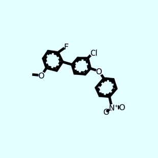 COc1ccc(F)c(-c2ccc(Oc3ccc([N+](=O)[O-])cc3)c(Cl)c2)c1